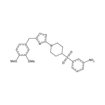 COc1ccc(Cc2csc(N3CCC(S(=O)(=O)c4cccc([N+](=O)[O-])c4)CC3)n2)cc1OC